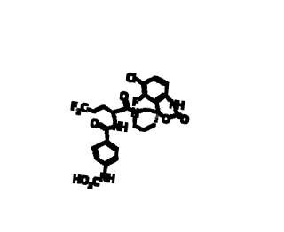 O=C(O)Nc1ccc(C(=O)N[C@@H](CCC(F)(F)F)C(=O)N2CCC[C@@]3(C2)OC(=O)Nc2ccc(Cl)c(F)c23)cc1